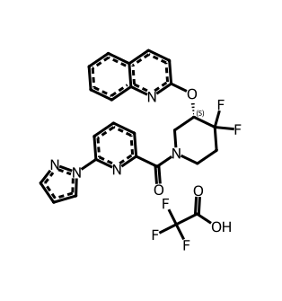 O=C(O)C(F)(F)F.O=C(c1cccc(-n2cccn2)n1)N1CCC(F)(F)[C@@H](Oc2ccc3ccccc3n2)C1